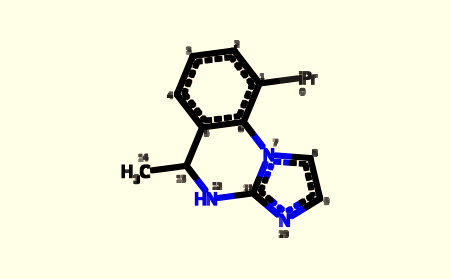 CC(C)c1cccc2c1-n1ccnc1NC2C